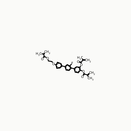 C=C(C)C(=O)OCCOc1ccc(-c2ccc(-c3ccc(OC(=O)C(=C)C)c(OC(=O)C(=C)C)c3)c(F)c2)cc1